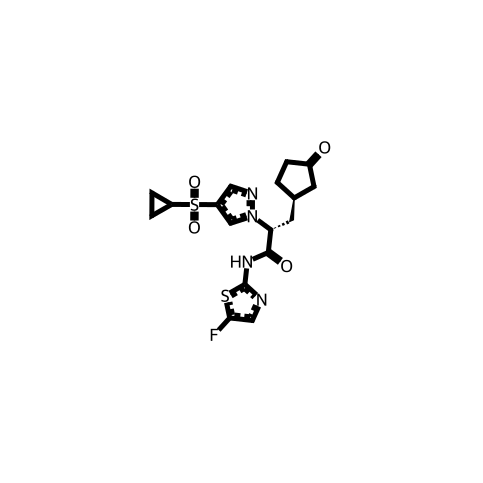 O=C1CC[C@H](C[C@H](C(=O)Nc2ncc(F)s2)n2cc(S(=O)(=O)C3CC3)cn2)C1